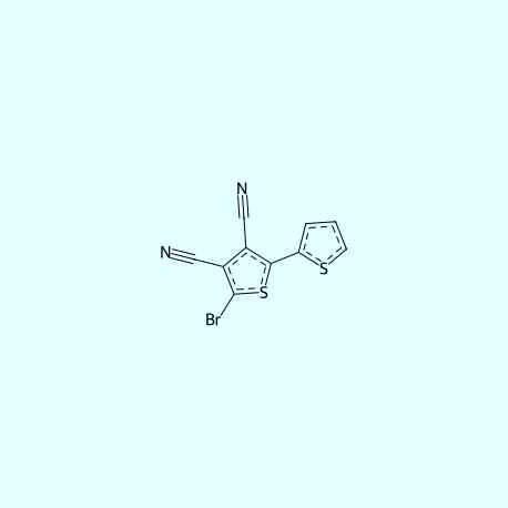 N#Cc1c(Br)sc(-c2cccs2)c1C#N